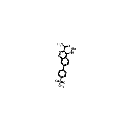 CC(C)(C)Nc1c(C(N)=O)nnc2cc(-c3ccc(S(C)(=O)=O)cc3)ccc12